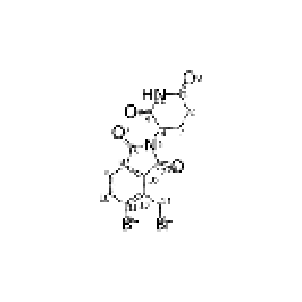 O=C1CCC(N2C(=O)c3ccc(Br)c(CBr)c3C2=O)C(=O)N1